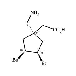 CC[C@@H]1C[C@](CN)(CC(=O)O)C[C@@H]1C(C)(C)C